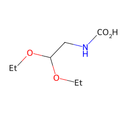 CCOC(CNC(=O)O)OCC